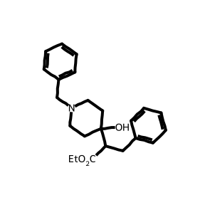 CCOC(=O)C(Cc1ccccc1)C1(O)CCN(Cc2ccccc2)CC1